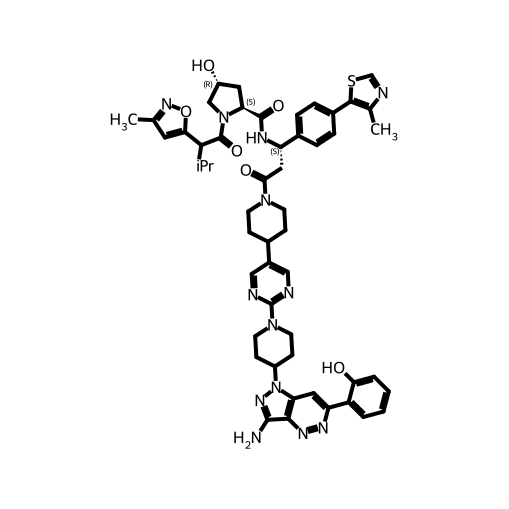 Cc1cc(C(C(=O)N2C[C@H](O)C[C@H]2C(=O)N[C@@H](CC(=O)N2CCC(c3cnc(N4CCC(n5nc(N)c6nnc(-c7ccccc7O)cc65)CC4)nc3)CC2)c2ccc(-c3scnc3C)cc2)C(C)C)on1